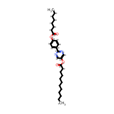 CCCCCCCCCCCC(=O)Oc1cnc(-c2ccc(OC(=O)CCCCCCC)cc2)nc1